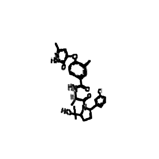 Cc1cc(Oc2ccc(C(=O)N[C@H](C)C(=O)N3C(c4cccc(Cl)c4)CCC3C(C)(C)O)cc2C)c(=O)[nH]n1